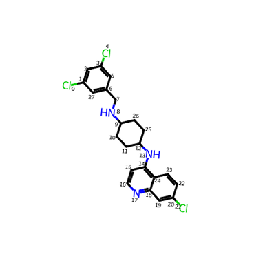 Clc1cc(Cl)cc(CNC2CCC(Nc3ccnc4cc(Cl)ccc34)CC2)c1